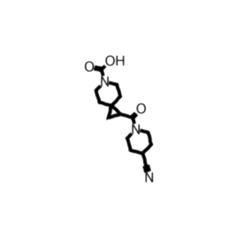 N#CC1CCN(C(=O)C2CC23CCN(C(=O)O)CC3)CC1